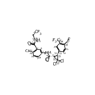 O=C(NCC(F)(F)F)c1cc(NC(=O)[C@@H]2[C@@H](c3ccc(F)c(C(F)(F)F)c3)C2(Cl)Cl)ccc1Cl